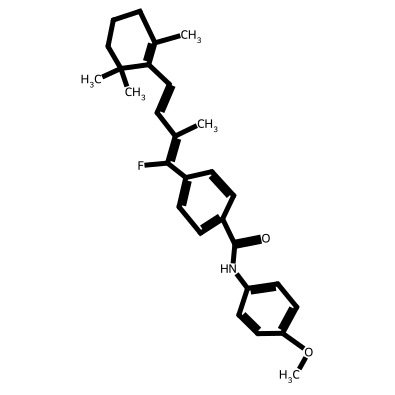 COc1ccc(NC(=O)c2ccc(/C(F)=C(C)/C=C/C3=C(C)CCCC3(C)C)cc2)cc1